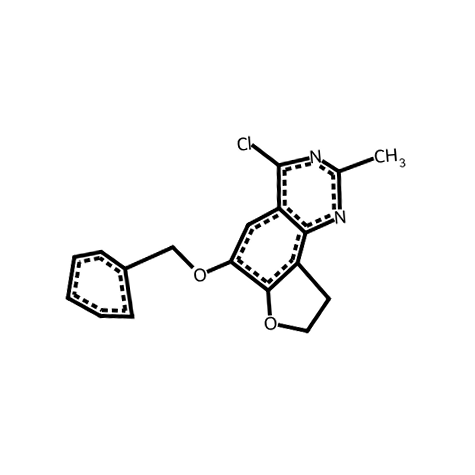 Cc1nc(Cl)c2cc(OCc3ccccc3)c3c(c2n1)CCO3